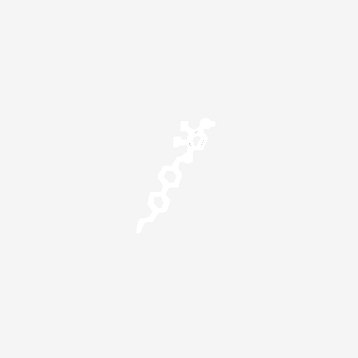 CCCC1CCC(C2CCC(COc3ccc(OC)c(F)c3F)CC2)CC1